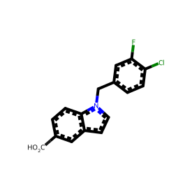 O=C(O)c1ccc2c(ccn2Cc2ccc(Cl)c(F)c2)c1